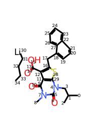 CC(C)Cn1c(=O)n(C)c(=O)c2c(C(=O)O)c(Cc3cccc4ccccc34)sc21.[Li][CH2]CCC